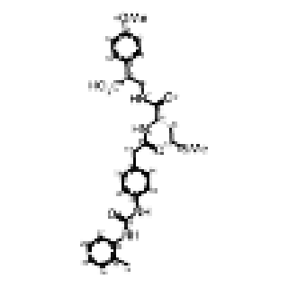 COc1ccc([C@@H](CNC(=O)[C@H](CCSC)NC(=O)Cc2ccc(NC(=O)Nc3ccccc3C)cc2)C(=O)O)cc1